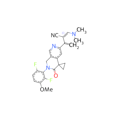 C=C(/C(C#N)=C\N(C)C)c1cc2c(cn1)CN(c1c(F)ccc(OC)c1F)C(=O)C21CC1